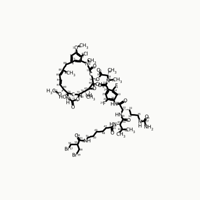 COc1cc2cc(c1Cl)N(C)C(=O)C[C@H](OC(=O)[C@H](C)N(C)C(=O)c1cc(F)c(NC(=O)[C@H](CCCNC(N)=O)NC(=O)[C@@H](NC(=O)CCCCCNC(=O)C(CBr)CBr)C(C)C)cc1F)[C@]1(C)O[C@H]1[C@H](C)[C@@H]1C[C@@](O)(NC(=O)O1)[C@H](OC)/C=C/C=C(\C)C2